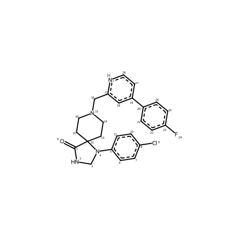 O=C1NCN(c2ccc(Cl)cc2)C12CCN(Cc1cc(-c3ccc(F)cc3)ccn1)CC2